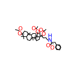 COC(=O)[C@H](Cc1ccccc1)NCCC[C@](C)(OC(C)=O)C1CC[C@]2(C)[C@@H]1C(OC(C)=O)CC1[C@@]3(C)CC[C@H](OC(C)=O)C(C)(C)C3CC[C@]12C